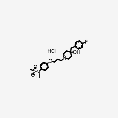 CS(=O)(=O)Nc1ccc(OCCCN2CCC(O)(Cc3ccc(F)cc3)CC2)cc1.Cl